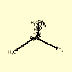 CCCCCCCCCCCCCCCCCC(=O)OC[C@H](COP(=O)(O)OCCNC(=O)OCCC(C)(C)C)OC(=O)CCCCCCCCCCCCCCCCC